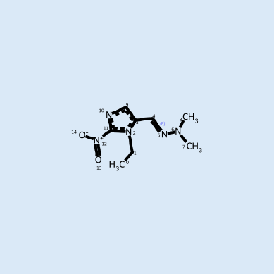 CCn1c(/C=N/N(C)C)cnc1[N+](=O)[O-]